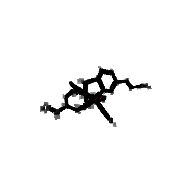 CCCc1ccc2c(c1)C1(NC(=O)NC1=O)[C@]1(CC[C@H](OC)CC1)C2